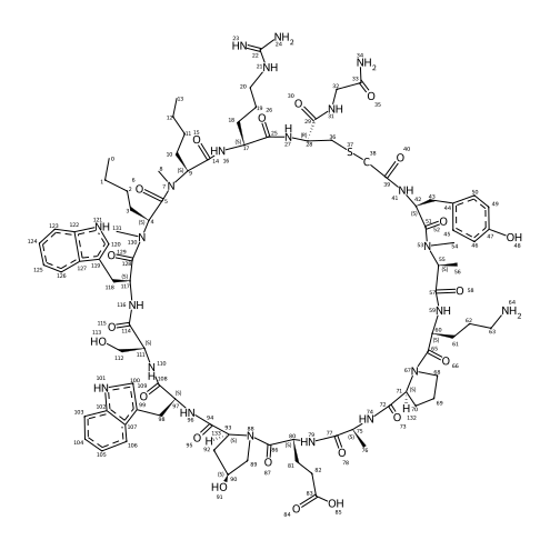 CCCC[C@H]1C(=O)N(C)[C@@H](CCCC)C(=O)N[C@@H](CCCNC(=N)N)C(=O)N[C@H](C(=O)NCC(N)=O)CSCC(=O)N[C@@H](Cc2ccc(O)cc2)C(=O)N(C)[C@@H](C)C(=O)N[C@@H](CCCN)C(=O)N2CCC[C@H]2C(=O)N[C@@H](C)C(=O)N[C@@H](CCC(=O)O)C(=O)N2C[C@@H](O)C[C@H]2C(=O)N[C@@H](Cc2c[nH]c3ccccc23)C(=O)N[C@@H](CO)C(=O)N[C@@H](Cc2c[nH]c3ccccc23)C(=O)N1C